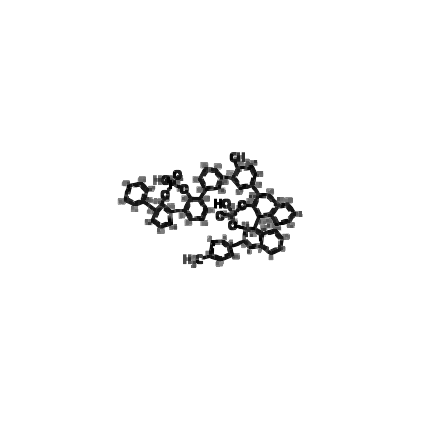 Cc1ccc(-c2cc3ccccc3c3c2OP(=O)(O)Oc2c(-c4ccc(C)c(-c5cccc(-c6cccc7c6OP(=O)(O)Oc6c(-c8ccccc8)cccc6-7)c5)c4)cc4ccccc4c2-3)cc1